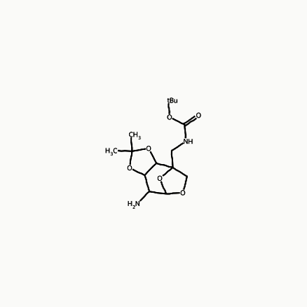 CC(C)(C)OC(=O)NCC12COC(O1)C(N)C1OC(C)(C)OC12